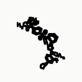 CN(c1ccc(Cl)cc1F)C1CCN(c2ccccc2NS(=O)(=O)c2ccc(S(=O)(=O)N(C)C)cc2)C1